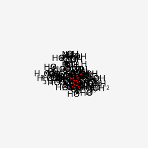 CC1C(O)[C@H](O[C@@H]2OC(CO)[C@H](O)C(O[C@]3(C(=O)O)C[C@@H](O)[C@@H](N)C([C@H](O)[C@H](O)CO)O3)[C@@H]2O)[C@H](CO)O[C@H]1O[C@@H]1C(O)[C@H](O)C(CO)O[C@@H]1OCC1O[C@@H](O[C@@H]2C(CO)O[C@@H](O[C@@H]3C(CO)O[C@@H](C)C(C)[C@H]3O)C(C)[C@H]2O)C(O)C(O[C@H]2O[C@H](CO)[C@@H](O)C(O)C2O[C@@H]2OC(CO)[C@@H](O[C@@H]3OC(CO[C@]4(C(=O)O)C[C@@H](O)[C@@H](N)C([C@H](O)[C@H](O)CO)O4)[C@H](O)C[C@@H]3O)C(O)[C@@H]2C)[C@@H]1O